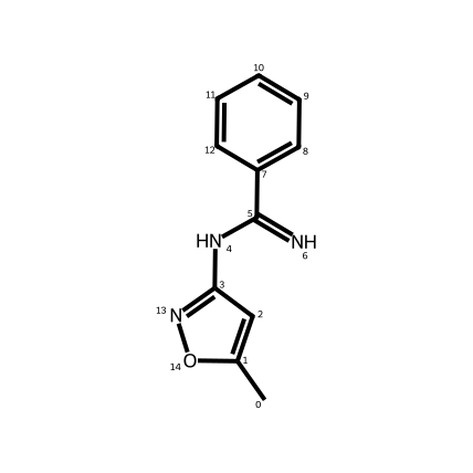 Cc1cc(NC(=N)c2ccccc2)no1